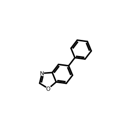 c1ccc(-c2ccc3ocnc3c2)cc1